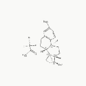 C[C@]12CC[C@@H]3c4ccc(O)cc4CC[C@H]3[C@@H]1CC[C@@H]2O.O=C(O)C(F)(F)F